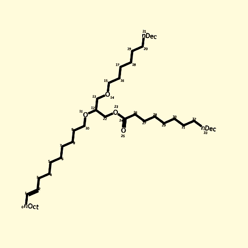 CCCCCCCCC=CCCCCCCCCOC(COCCCCCCCCCCCCCCCC)COC(=O)CCCCCCCCCCCCCCCCC